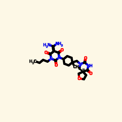 CCCCN1C(=O)C(=C(N)N)C(=O)N(C2CCC(C)(CN3C[C@]4(CCOC4)C(=O)NC3=O)CC2)C1=O